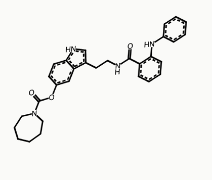 O=C(NCCc1c[nH]c2ccc(OC(=O)N3CCCCCC3)cc12)c1ccccc1Nc1ccccc1